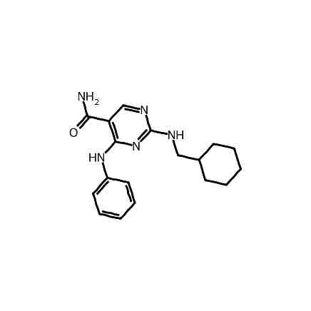 NC(=O)c1cnc(NCC2CCCCC2)nc1Nc1ccccc1